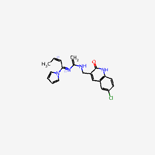 C=C(/N=C(\C=C/C)n1cccc1)NCc1cc2cc(Cl)ccc2[nH]c1=O